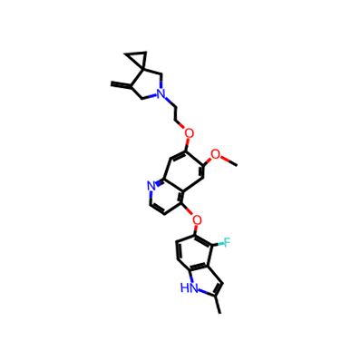 C=C1CN(CCOc2cc3nccc(Oc4ccc5[nH]c(C)cc5c4F)c3cc2OC)CC12CC2